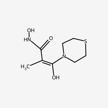 CC(C(=O)NO)=C(O)N1CCSCC1